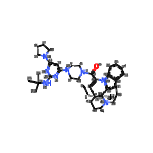 CC[C@@]12C=C(C(=O)N3CCN(c4cc(N5CCCC5)nc(NC(C)(C)C)n4)CC3)n3c4c(c5ccccc53)CCN(CCC1)[C@H]42